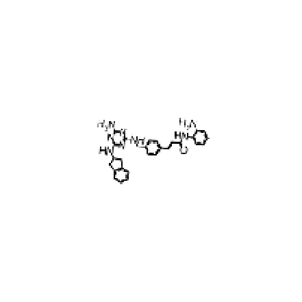 Nc1nc(NCc2ccc(/C=C/C(=O)Nc3ccccc3N)cc2)nc(NC2Cc3ccccc3C2)n1